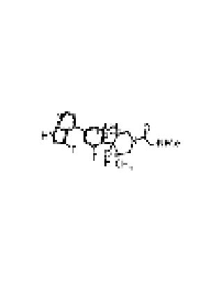 CNCC(=O)N1C[C@@H](C)C(O)(c2c(C)cc(-c3ccnc4[nH]cc(F)c34)cc2F)[C@@H](C)C1